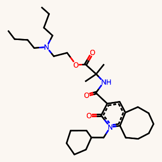 CCCCN(CCCC)CCOC(=O)C(C)(C)NC(=O)c1cc2c(n(CC3CCCCC3)c1=O)CCCCCC2